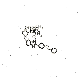 CC(C)(C)C1CN(Cc2ccc3nc(-c4ccc(OCc5ccccc5)cc4)n(COCC[Si](C)(C)C)c3n2)CCN1C(=O)O